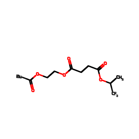 CCC(C)C(=O)OCCOC(=O)CCC(=O)OC(C)C(F)(F)F